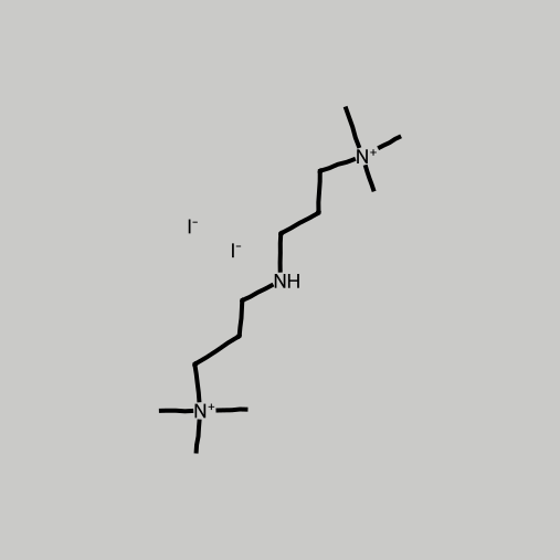 C[N+](C)(C)CCCNCCC[N+](C)(C)C.[I-].[I-]